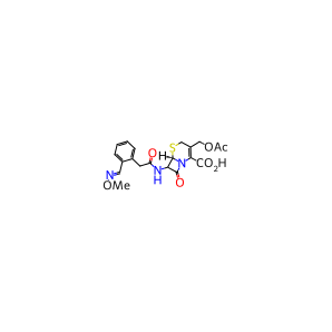 CO/N=C/c1ccccc1CC(=O)NC1C(=O)N2C(C(=O)O)=C(COC(C)=O)CS[C@@H]12